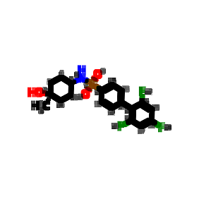 C[C@]1(O)CC[C@@H](NS(=O)(=O)c2ccc(-c3c(F)cc(F)cc3F)cc2)CC1